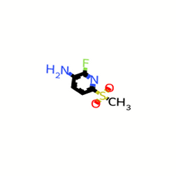 CS(=O)(=O)c1ccc(N)c(F)n1